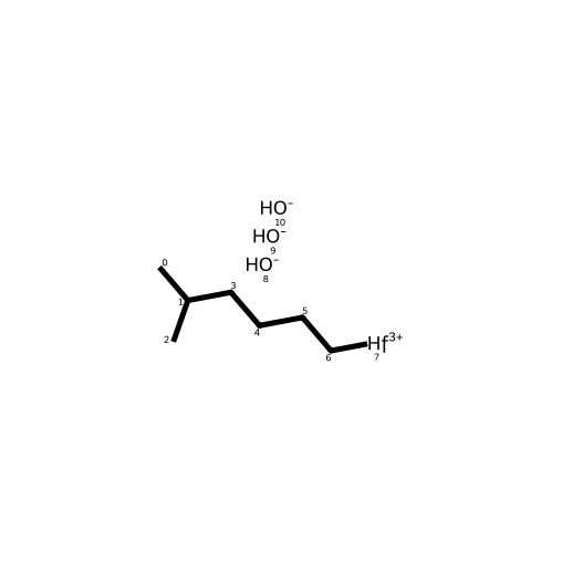 CC(C)CCC[CH2][Hf+3].[OH-].[OH-].[OH-]